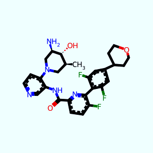 C[C@H]1CN(c2ccncc2NC(=O)c2ccc(F)c(-c3c(F)cc(C4CCOCC4)cc3F)n2)C[C@@H](N)[C@@H]1O